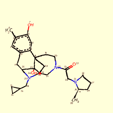 Cc1cc2c(cc1O)C13CCN(C(=O)CN4CCC[C@H]4C)CCC1(O)C(C2)N(CC1CC1)CC3